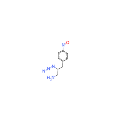 [N-]=[N+]=NC(CN)Cc1ccc(N=O)cc1